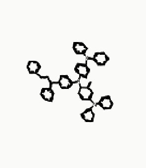 CC1C=C(N(c2ccccc2)c2ccccc2)C=CC1N(c1ccc(C(CCc2ccccc2)c2ccccc2)cc1)c1ccc(N(c2ccccc2)c2ccccc2)cc1